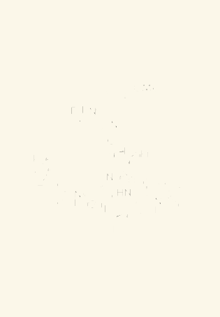 CCC[C@@H]1[C@@H]2CN(C(=O)[C@H](C(C)(C)C)NC(=O)O[C@@H]3C[C@H]3CCCCC(F)(F)c3nc4ccc(OC)cc4nc3O2)[C@@H]1ON[C@]1(C(=O)NS(=O)(=O)C2(C)CC2)C[C@H]1C(F)F